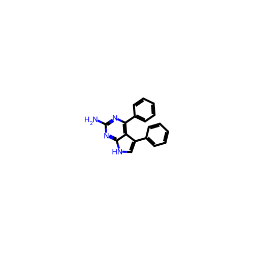 Nc1nc(-c2ccccc2)c2c(-c3ccccc3)c[nH]c2n1